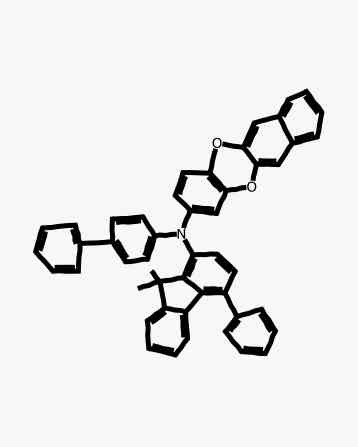 CC1(C)c2ccccc2-c2c(-c3ccccc3)ccc(N(c3ccc(-c4ccccc4)cc3)c3ccc4c(c3)Oc3cc5ccccc5cc3O4)c21